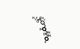 CC(=O)N(C)C1CCN(Cc2cc(F)cc(NC(=O)Nc3ccc(F)cc3)c2)CC1